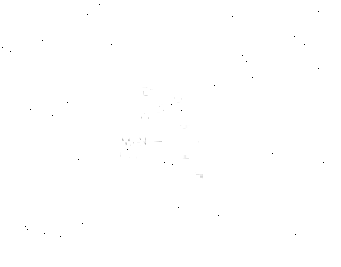 CCS(=O)(=O)c1ccc(Br)cc1NC.Cl